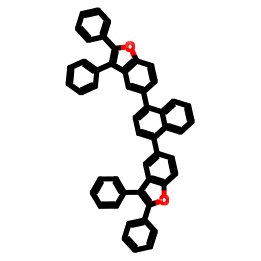 c1ccc(-c2oc3ccc(-c4ccc(-c5ccc6oc(-c7ccccc7)c(-c7ccccc7)c6c5)c5ccccc45)cc3c2-c2ccccc2)cc1